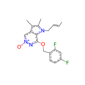 C/C=C/Cn1c(C)c(C)c2c[n+]([O-])nc(OCc3ccc(F)cc3F)c21